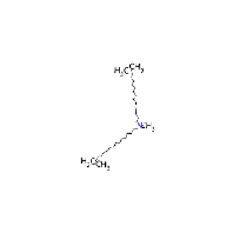 CC(C)CCCCCCCCCCCCCCN(C)CCCCCCCCCCCCCCC(C)C